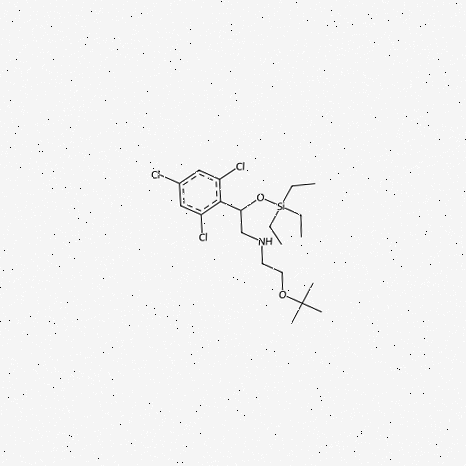 CC[Si](CC)(CC)OC(CNCCOC(C)(C)C)c1c(Cl)cc(Cl)cc1Cl